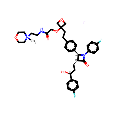 C[N+]1(CCNC(=O)COC2(CCc3ccc([C@@H]4[C@@H](CC[C@H](O)c5ccc(F)cc5)C(=O)N4c4ccc(F)cc4)cc3)COC2)CCOCC1.[I-]